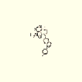 Cc1ccc(-n2ccc3cc(N4CCOc5ncnc(N)c5C4=O)ccc32)cc1